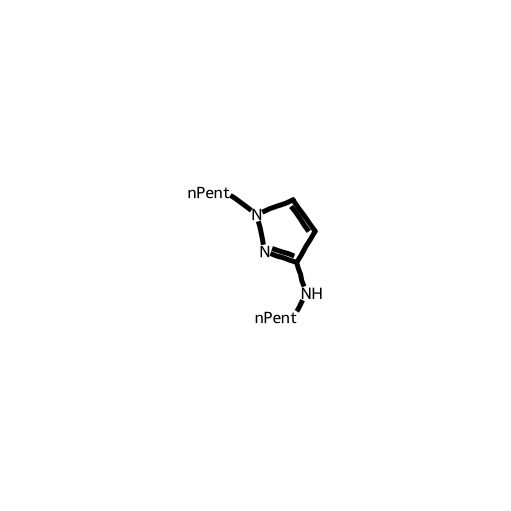 CCCCCNc1ccn(CCCCC)n1